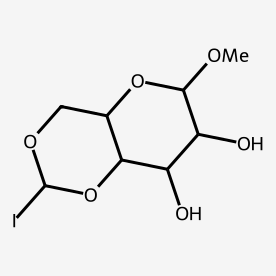 COC1OC2COC(I)OC2C(O)C1O